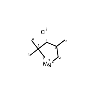 CC([CH2][Mg+])CC(C)(C)C.[Cl-]